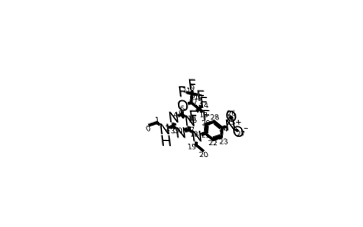 CCNc1nc(OC(C(F)(F)F)C(F)(F)F)nc(N(CC)c2ccc([N+](=O)[O-])cc2)n1